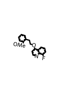 COc1ccccc1CCOc1ccnc2c(F)cccc12